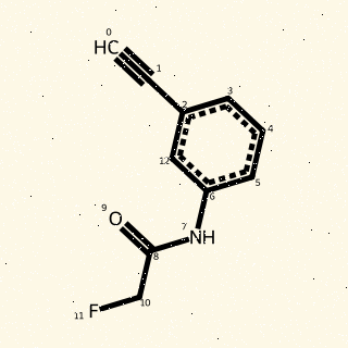 C#Cc1cccc(NC(=O)CF)c1